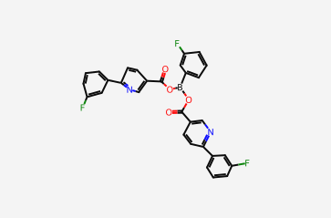 O=C(OB(OC(=O)c1ccc(-c2cccc(F)c2)nc1)c1cccc(F)c1)c1ccc(-c2cccc(F)c2)nc1